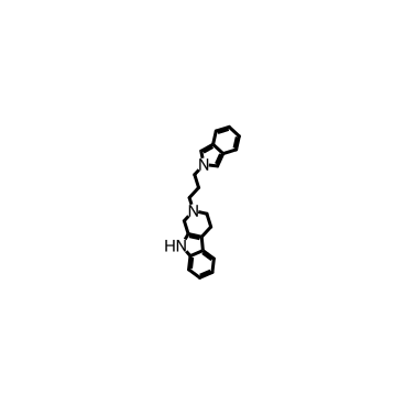 c1ccc2cn(CCCN3CCc4c([nH]c5ccccc45)C3)cc2c1